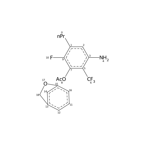 CCCc1cc(N)c(C(F)(F)F)c(OC(C)=O)c1F.c1cc2cc(c1)OC2